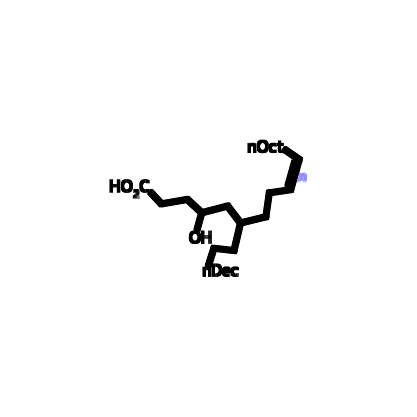 CCCCCCCC/C=C\CCC(CCCCCCCCCCCC)CC(O)CCC(=O)O